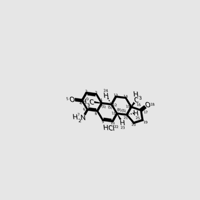 C[C@]12C=CC(=O)C(N)=C1C=C[C@@H]1[C@@H]2CC[C@]2(C)C(=O)CC[C@@H]12.Cl